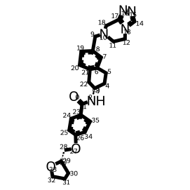 O=C(N[C@H]1CCc2cc(CN3CCn4cnnc4C3)ccc2C1)c1ccc(OC[C@@H]2CCCO2)cc1